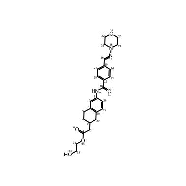 O=C(CC1CCc2cc(NC(=O)c3ccc(/C=N/N4CCOCC4)cc3)ccc2C1)OCCO